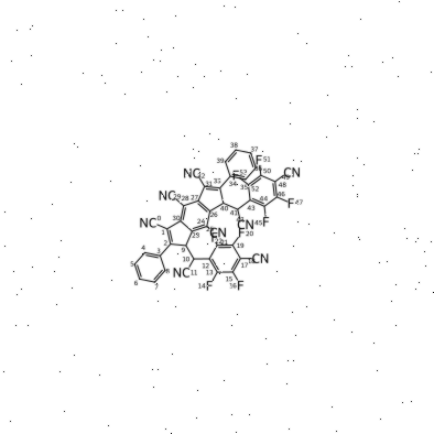 N#CC1=C(c2ccccc2)C(C(C#N)c2c(F)c(F)c(C#N)c(F)c2F)c2c(C#N)c3c(c(C#N)c21)C(C#N)=C(c1ccccc1)C3C(C#N)c1c(F)c(F)c(C#N)c(F)c1F